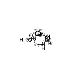 COC(=O)N1CCCCNc2nc(ncc2Br)Nc2cccc1c2